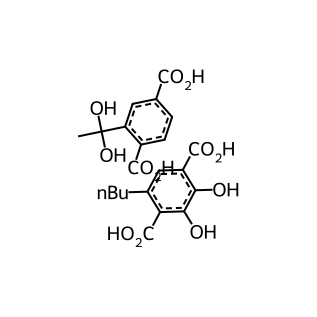 CC(O)(O)c1cc(C(=O)O)ccc1C(=O)O.CCCCc1cc(C(=O)O)c(O)c(O)c1C(=O)O